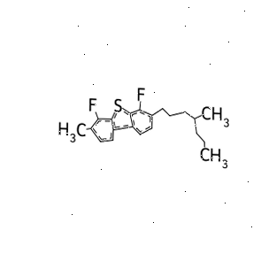 CCCC(C)CCCc1ccc2c(sc3c(F)c(C)ccc32)c1F